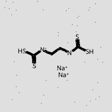 S=C(S)[N-]CC[N-]C(=S)S.[Na+].[Na+]